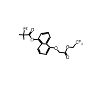 CCC(C)(C)C(=O)Oc1cccc2c(OCC(=O)OCC(F)(F)F)cccc12